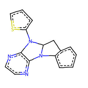 c1csc(N2c3nccnc3N3c4ccccc4CC23)c1